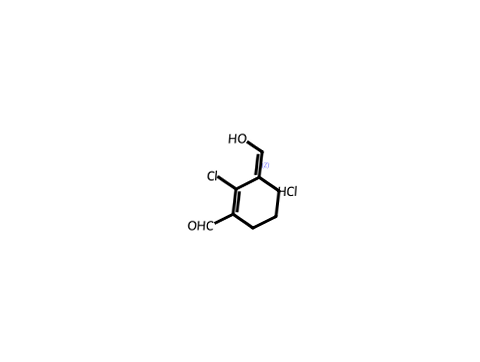 Cl.O=CC1=C(Cl)/C(=C\O)CCC1